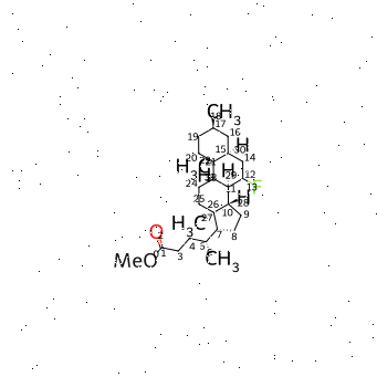 COC(=O)CC[C@@H](C)[C@H]1CC[C@H]2[C@@H]3C(F)C[C@@H]4C[C@H](C)CC[C@]4(C)[C@H]3CC[C@]12C